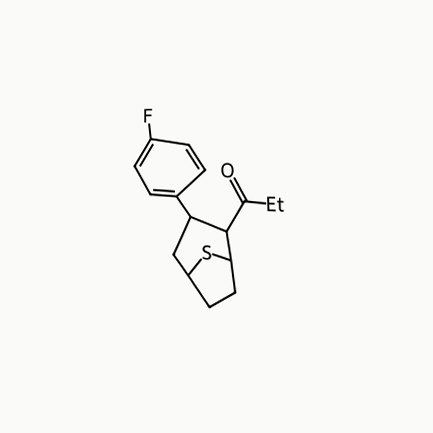 CCC(=O)C1C2CCC(CC1c1ccc(F)cc1)S2